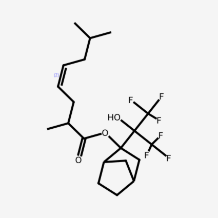 CC(C)C/C=C\CC(C)C(=O)OC1(C(O)(C(F)(F)F)C(F)(F)F)CC2CCC1C2